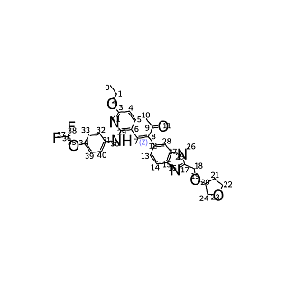 CCOc1ccc(/C=C(\C(C)=O)c2ccc3nc(COC4CCOC4)n(C)c3c2)c(Nc2ccc(OC(F)F)cc2)n1